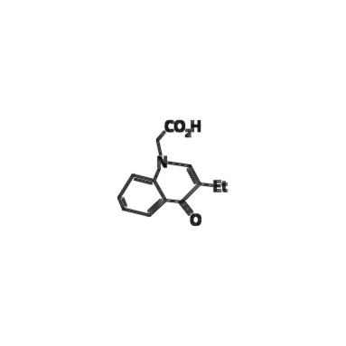 CCc1cn(CC(=O)O)c2ccccc2c1=O